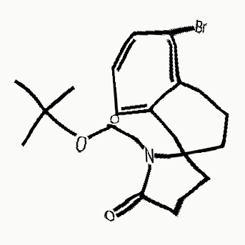 CC(C)(C)OC(=O)N1C(=O)CCC12CCc1c(Br)cccc12